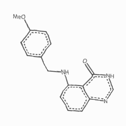 COc1ccc(CNc2cccc3nc[nH]c(=O)c23)cc1